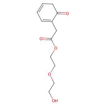 O=C(CC1=CC=CCC1=O)OCCOCCO